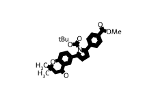 COC(=O)c1ccc(-c2ccc(-c3ccc4c(c3)C(=O)CC(C)(C)O4)n2C(=O)OC(C)(C)C)cc1